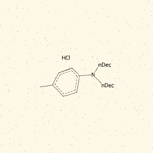 CCCCCCCCCCN(CCCCCCCCCC)c1ccc(C)cc1.Cl